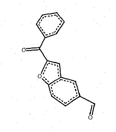 O=Cc1ccc2oc(C(=O)c3ccccc3)cc2c1